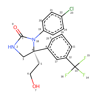 O=C1NC[C@](CCO)(c2cccc(C(F)(F)F)c2)N1c1ccc(Cl)cc1